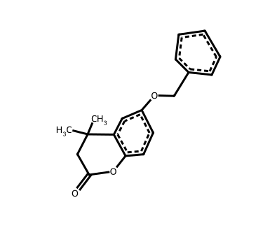 CC1(C)CC(=O)Oc2ccc(OCc3ccccc3)cc21